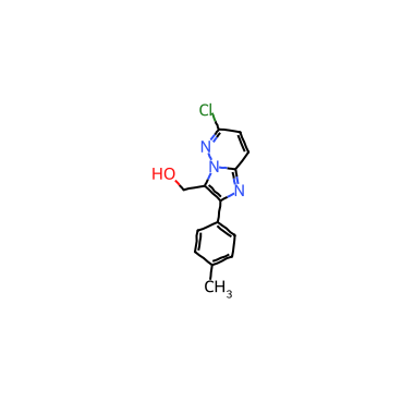 Cc1ccc(-c2nc3ccc(Cl)nn3c2CO)cc1